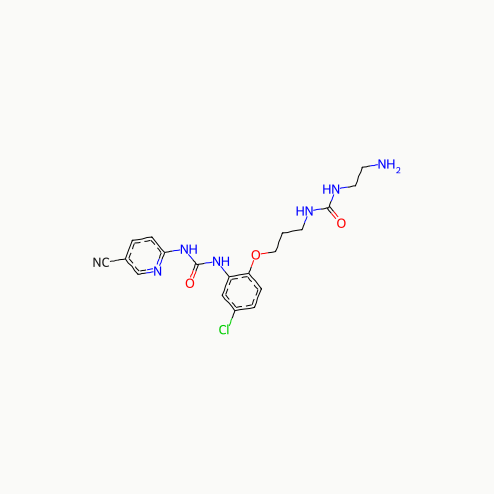 N#Cc1ccc(NC(=O)Nc2cc(Cl)ccc2OCCCNC(=O)NCCN)nc1